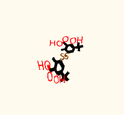 Cc1c(SSc2cc(C(C)(C)C)c(O)c(C(=O)O)c2C)cc(C(C)(C)C)c(O)c1C(=O)O